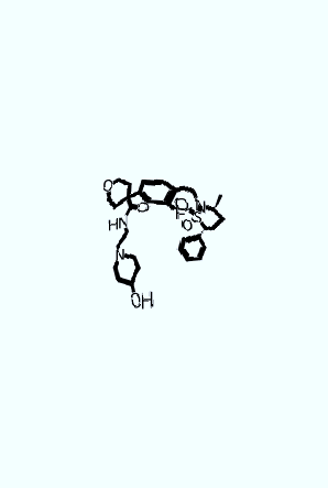 C[C@H]1CC[C@H](c2ccccc2)S(=O)(=O)N1Cc1ccc(C2(C(=O)NCCN3CCC(O)CC3)CCOCC2)cc1F